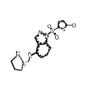 O=S(=O)(c1ccc(Cl)s1)n1ncc2c(OC[C@@H]3CCCN3)cccc21